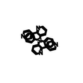 c1ccc([Si](c2ccccc2)(c2cccnc2-c2ccncc2)c2cccnc2-c2ccncc2)cc1